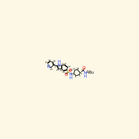 CCC(C)NC(=O)[C@H]1CC[C@H](NS(=O)(=O)c2ccc3[nH]c(-c4cccnc4)cc3c2)CC1